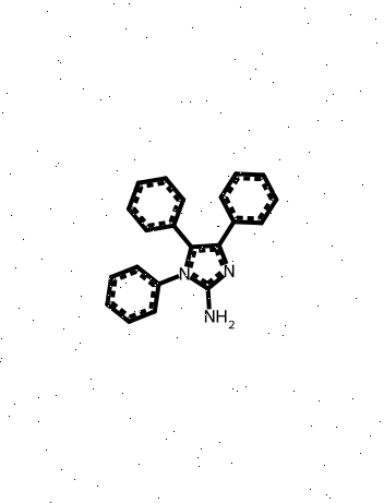 Nc1nc(-c2ccccc2)c(-c2ccccc2)n1-c1ccccc1